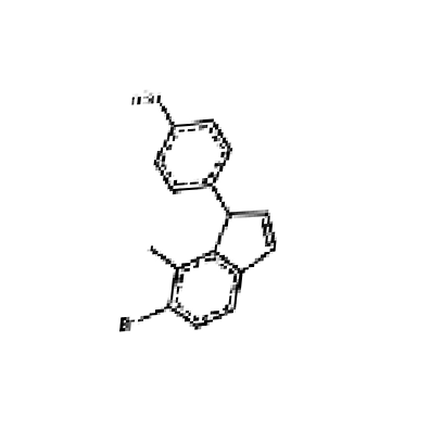 CCCCc1ccc(C2C=Cc3ccc(Br)c(C)c32)cc1